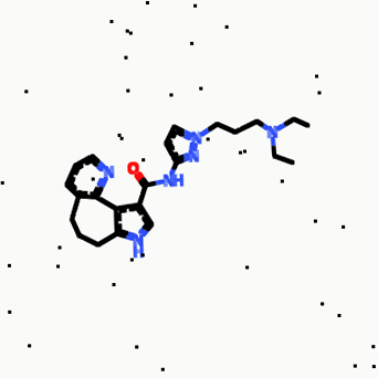 CCN(CC)CCCn1ccc(NC(=O)c2c[nH]c3c2-c2ncccc2CCC3)n1